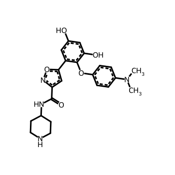 CN(C)c1ccc(Oc2c(O)cc(O)cc2-c2cc(C(=O)NC3CCNCC3)no2)cc1